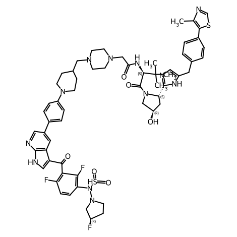 Cc1ncsc1-c1ccc(Cc2cnc([C@@H]3C[C@@H](O)CN3C(=O)[C@@H](NC(=O)CN3CCN(CC4CCN(c5ccc(-c6cnc7[nH]cc(C(=O)c8c(F)ccc(N(N9CC[C@@H](F)C9)[SH](=O)=O)c8F)c7c6)cc5)CC4)CC3)C(C)(C)C)[nH]2)cc1